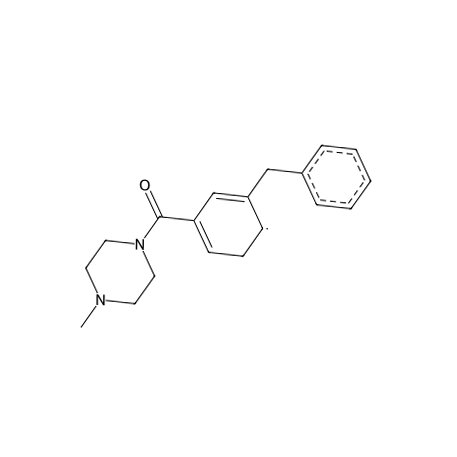 CN1CCN(C(=O)C2=CC[CH]C(Cc3ccccc3)=C2)CC1